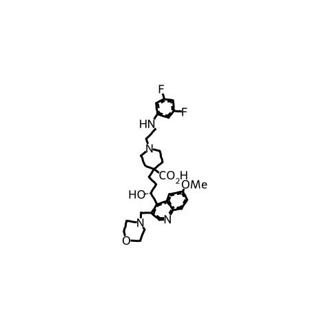 COc1ccc2ncc(CN3CCOCC3)c([C@H](O)CCC3(C(=O)O)CCN(CCNc4cc(F)cc(F)c4)CC3)c2c1